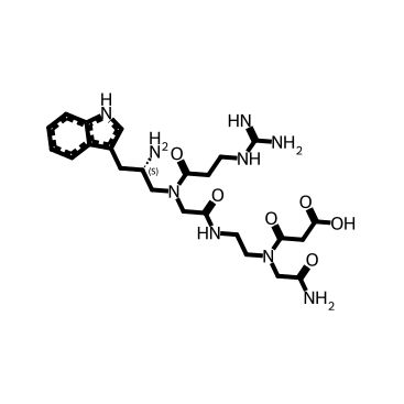 N=C(N)NCCC(=O)N(CC(=O)NCCN(CC(N)=O)C(=O)CC(=O)O)C[C@@H](N)Cc1c[nH]c2ccccc12